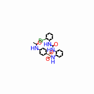 CC(=O)Nc1ccc(S(=O)(=O)Nc2ccccc2NC(=O)Nc2ccccc2Br)cc1